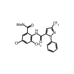 CNC(=O)c1cc(Cl)cc(C)c1NC(=O)c1cc(C(F)(F)F)nn1-c1ccccc1